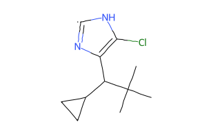 CC(C)(C)C(c1n[c][nH]c1Cl)C1CC1